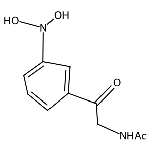 CC(=O)NCC(=O)c1cccc(N(O)O)c1